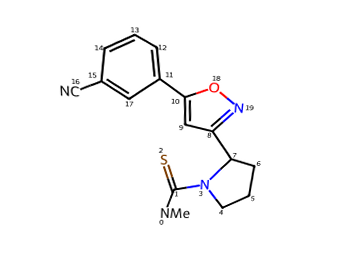 CNC(=S)N1CCCC1c1cc(-c2cccc(C#N)c2)on1